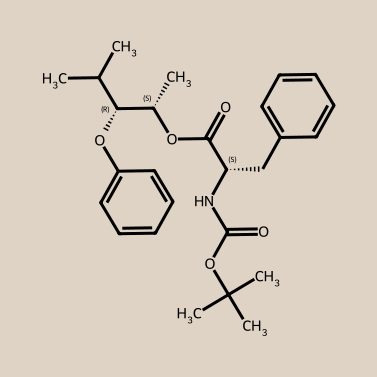 CC(C)[C@@H](Oc1ccccc1)[C@H](C)OC(=O)[C@H](Cc1ccccc1)NC(=O)OC(C)(C)C